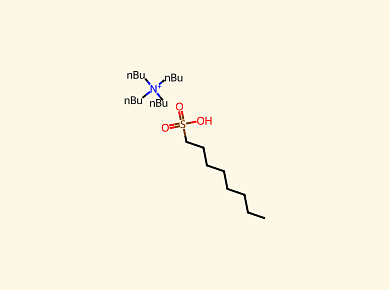 CCCCCCCCS(=O)(=O)O.CCCC[N+](CCCC)(CCCC)CCCC